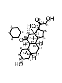 C1CCCCC1.C[C@]12CC[C@@H](O)C[C@H]1CC[C@@H]1[C@@H]2C(=O)C[C@@]2(C)[C@H]1CC[C@]2(O)C(=O)CO